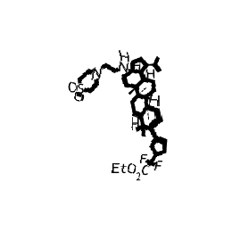 C=C(C)[C@@H]1CC[C@]2(NCCN3CCS(=O)(=O)CC3)CC[C@]3(C)[C@H](CC[C@@H]4[C@@]5(C)CC=C(C6=CCC(C(F)(F)C(=O)OCC)C6)C(C)(C)[C@@H]5CC[C@]43C)[C@@H]12